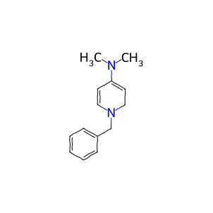 CN(C)C1=CCN(Cc2ccccc2)C=C1